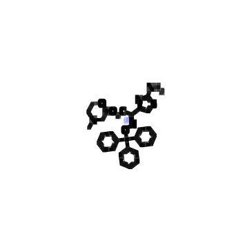 CN1CCOCC1.Nc1nc(/C(=N/OC(c2ccccc2)(c2ccccc2)c2ccccc2)C(=O)O)cs1